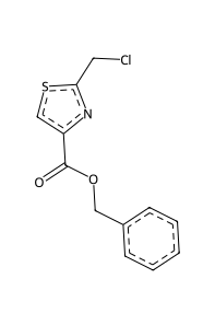 O=C(OCc1ccccc1)c1csc(CCl)n1